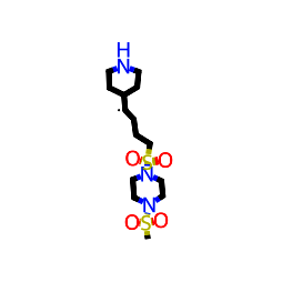 CS(=O)(=O)N1CCN(S(=O)(=O)CCC[CH]C2CCNCC2)CC1